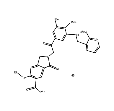 Br.CCOc1cc2c(cc1C(=O)NC)C(=N)N(CC(=O)c1cc(NCc3cccnc3OC)c(OC)c(C(C)(C)C)c1)C2